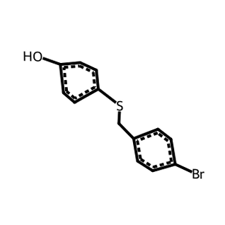 Oc1ccc(SCc2ccc(Br)cc2)cc1